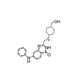 O=c1[nH]c(CSC2CCC(CO)CC2)nc2cc(Nc3ccccc3)ccc12